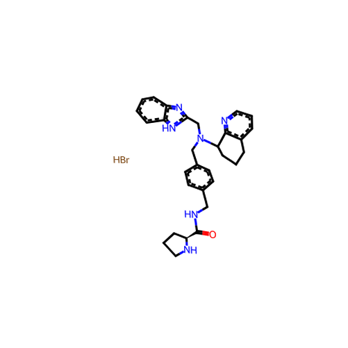 Br.O=C(NCc1ccc(CN(Cc2nc3ccccc3[nH]2)C2CCCc3cccnc32)cc1)[C@@H]1CCCN1